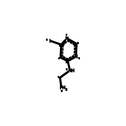 PCNc1cc(I)ncn1